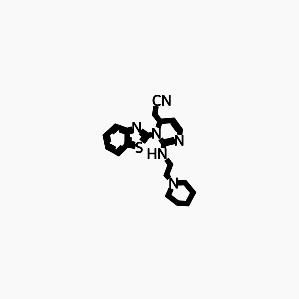 N#CCC1C=CN=C(NCCN2CCCCC2)N1c1nc2ccccc2s1